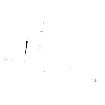 Cl.Cl.NCc1ccc(C(=O)N[C@H]2CN3CCC2CC3)s1